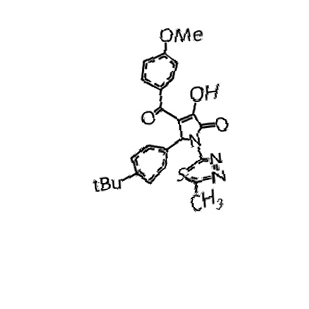 COc1ccc(C(=O)C2=C(O)C(=O)N(c3nnc(C)s3)C2c2ccc(C(C)(C)C)cc2)cc1